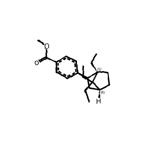 CCC1(CC)[C@@H]2CC[C@@]1(CC)C(c1ccc(C(=O)OC)cc1)C2